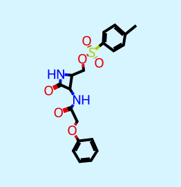 Cc1ccc(S(=O)(=O)OCC2NC(=O)C2NC(=O)COc2ccccc2)cc1